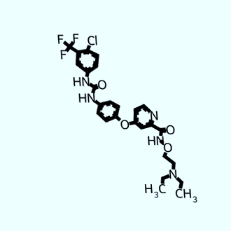 CCN(CC)CCONC(=O)c1cc(Oc2ccc(NC(=O)Nc3ccc(Cl)c(C(F)(F)F)c3)cc2)ccn1